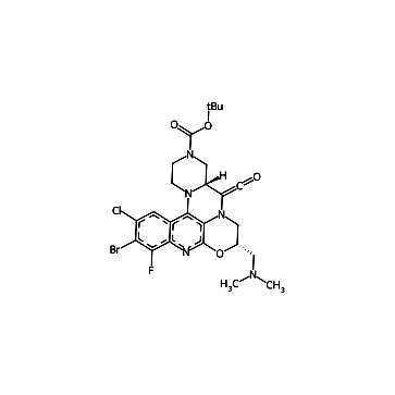 CN(C)C[C@H]1CN2C(=C=O)[C@H]3CN(C(=O)OC(C)(C)C)CCN3c3c2c(nc2c(F)c(Br)c(Cl)cc32)O1